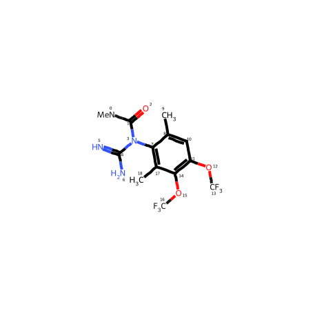 CNC(=O)N(C(=N)N)c1c(C)cc(OC(F)(F)F)c(OC(F)(F)F)c1C